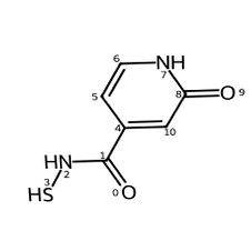 O=C(NS)c1cc[nH]c(=O)c1